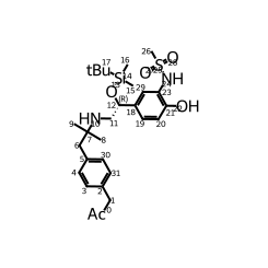 CC(=O)Cc1ccc(CC(C)(C)NC[C@H](O[Si](C)(C)C(C)(C)C)c2ccc(O)c(NS(C)(=O)=O)c2)cc1